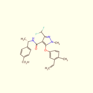 C=Cc1cc(Oc2c(C(=O)N[C@@H](C)c3ccc(C(=O)O)cc3)c(C(F)F)nn2C)ccc1C